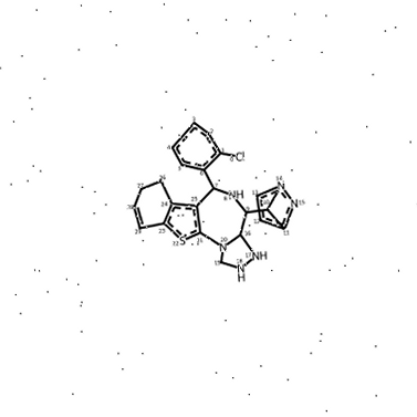 Clc1ccccc1C1NC(C2c3ccn2n3)C2NNCN2c2sc3c(c21)CCC=C3